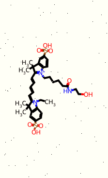 CCN1\C(=C/C=C/C=C/C2=[N+](CCCCCC(=O)NCCO)c3ccc(S(=O)(=O)O)cc3C2(C)C)C(C)(C)c2cc(S(=O)(=O)O)ccc21